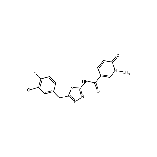 Cn1cc(C(=O)Nc2nnc(Cc3ccc(F)c(Cl)c3)s2)ccc1=O